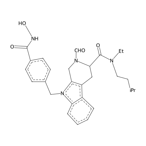 CCN(CCC(C)C)C(=O)C1Cc2c(n(Cc3ccc(C(=O)NO)cc3)c3ccccc23)CN1C=O